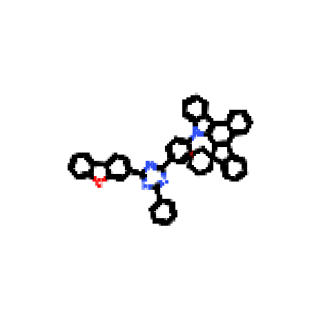 c1ccc(-c2nc(-c3ccc(-n4c5ccccc5c5c6ccccc6c6c(c54)C4(CCCCC4)c4ccccc4-6)cc3)nc(-c3ccc4c(c3)oc3ccccc34)n2)cc1